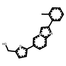 Cc1ccccc1-c1cn2cc(-c3ccc(CO)o3)ccc2n1